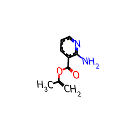 C=C(C)OC(=O)c1cccnc1N